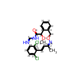 COC(C(=O)NC=N)c1ccccc1CON=C(C)C=Cc1c(Cl)cccc1Cl